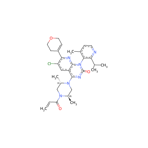 C=CC(=O)N1C[C@H](C)N(c2nc(=O)n(-c3c(C)ccnc3C(C)C)c3nc(C4=CCOCC4)c(Cl)cc23)C[C@H]1C